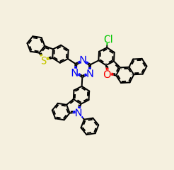 Clc1cc(-c2nc(-c3ccc4c(c3)sc3ccccc34)nc(-c3ccc4c(c3)c3ccccc3n4-c3ccccc3)n2)c2oc3ccc4ccccc4c3c2c1